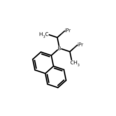 CC(C)C(C)B(c1cccc2ccccc12)C(C)C(C)C